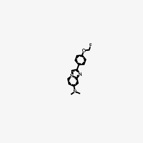 CN(C)c1ccn2cc(-c3ccc(OCF)cc3)nc2c1